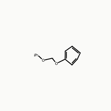 CC(C)O[CH]Oc1ccccc1